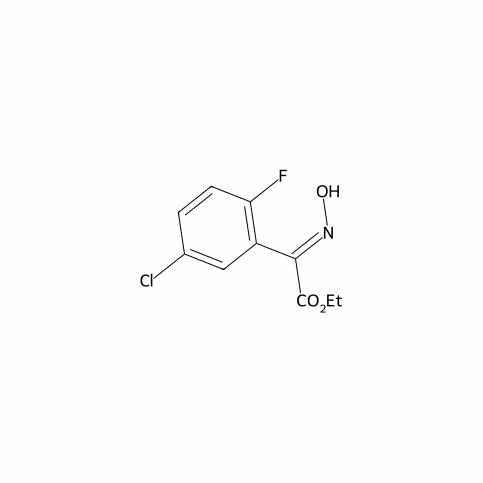 CCOC(=O)/C(=N/O)c1cc(Cl)ccc1F